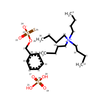 CCCC[N+](CCCC)(CCCC)CCCC.O=S(=O)(O)O.O=S([O-])(=S)OCc1ccccc1